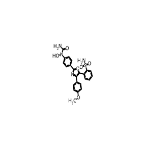 COc1ccc(-c2nc(-c3ccc(N(O)C(N)=O)cc3)oc2-c2ccccc2S(N)(=O)=O)cc1